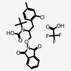 Cc1ccc(CC(CON2C(=O)c3ccccc3C2=O)N(C(=O)O)C(C)(C)C)c(Cl)c1.O=C(O)C(F)(F)F